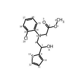 COC(=O)CN(CC(O)c1cccs1)c1ccccc1Cl